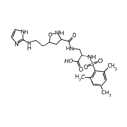 Cc1cc(C)c(S(=O)(=O)NC(CNC(=O)C2CC(CCNc3ncc[nH]3)ON2)C(=O)O)c(C)c1